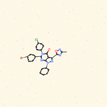 Cc1noc(-c2nn(-c3ccccc3)c3nc(-c4ccc(Br)cc4)n(-c4ccc(Cl)cc4)c(=O)c23)n1